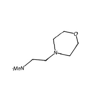 C[N]CCN1CCOCC1